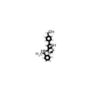 C[C@@H](Nc1ncnc2[nH]c(-c3ccc(CO)cc3)cc12)c1ccccc1